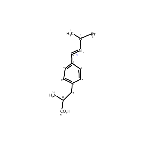 CC(C)N(C)/N=C/c1ccc(CC(N)C(=O)O)cc1